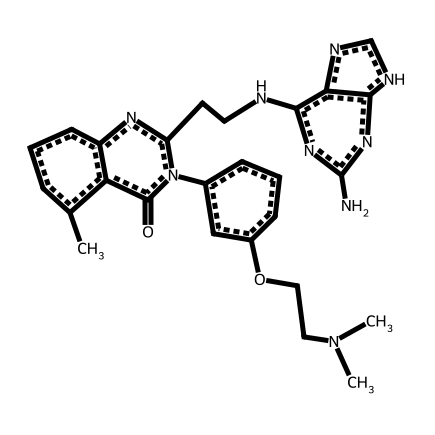 Cc1cccc2nc(CCNc3nc(N)nc4[nH]cnc34)n(-c3cccc(OCCN(C)C)c3)c(=O)c12